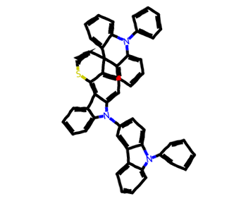 c1ccc(N2c3ccccc3C3(c4ccccc4Sc4c3ccc3c4c4ccccc4n3-c3ccc4c(c3)c3ccccc3n4-c3ccccc3)c3ccccc32)cc1